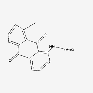 CCCCCCNc1cccc2c1C(=O)c1c(C)cccc1C2=O